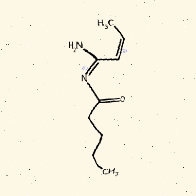 C/C=C\C(N)=N/C(=O)CCCC